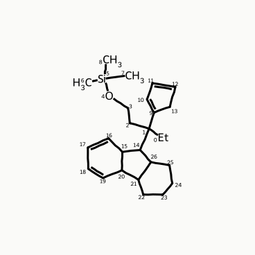 CCC(CCO[Si](C)(C)C)(C1=CC=CC1)C1C2C=CC=CC2C2CCCCC21